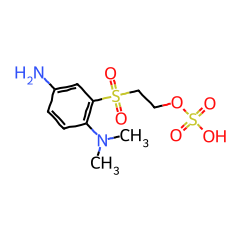 CN(C)c1ccc(N)cc1S(=O)(=O)CCOS(=O)(=O)O